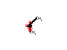 CCCCCCCC(=O)c1ccc(OC(=O)OC)c([C]=O)c1